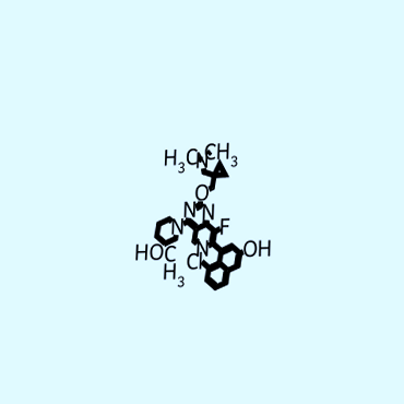 CN(C)CC1(COc2nc(N3CCC[C@@](C)(O)C3)c3cnc(-c4cc(O)cc5cccc(Cl)c45)c(F)c3n2)CC1